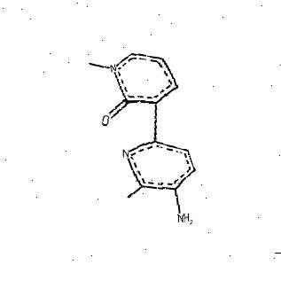 Cc1nc(-c2cccn(C)c2=O)ccc1N